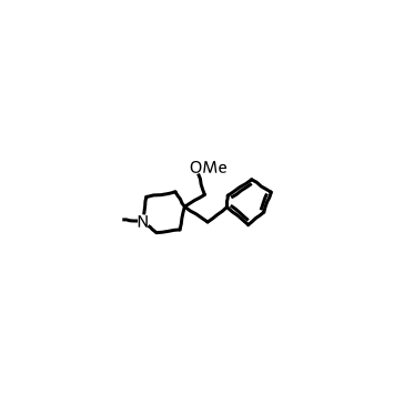 COCC1(Cc2ccccc2)CCN(C)CC1